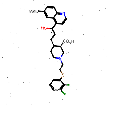 COc1ccc2nccc([C@H](O)CC[C@@H]3CCN(CCSc4cccc(F)c4F)C[C@@H]3C(=O)O)c2c1